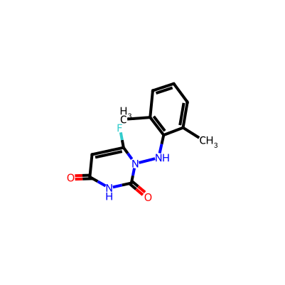 Cc1cccc(C)c1Nn1c(F)cc(=O)[nH]c1=O